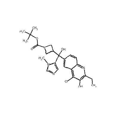 CCc1nc2ccc(C(O)(c3cnnn3C)C3CN(C(=O)OC(C)(C)C)C3)cc2c(Cl)c1O